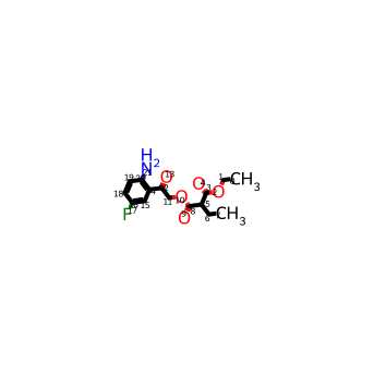 CCOC(=O)C(CC)C(=O)OCC(=O)c1cc(F)ccc1N